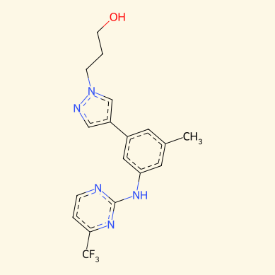 Cc1cc(Nc2nccc(C(F)(F)F)n2)cc(-c2cnn(CCCO)c2)c1